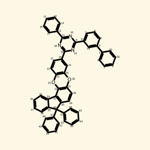 c1ccc(-c2cccc(-c3nc(-c4ccccc4)nc(-c4ccc5c(c4)Oc4ccc6c(c4O5)-c4ccccc4C6(c4ccccc4)c4ccccc4)n3)c2)cc1